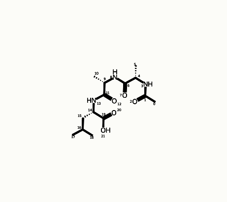 CC(=O)N[C@@H](C)C(=O)N[C@@H](C)C(=O)N[C@@H](CC(C)C)C(=O)O